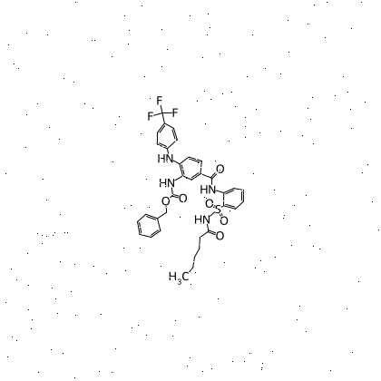 CCCCCC(=O)NS(=O)(=O)c1ccccc1NC(=O)c1ccc(Nc2ccc(C(F)(F)F)cc2)c(NC(=O)OCc2ccccc2)c1